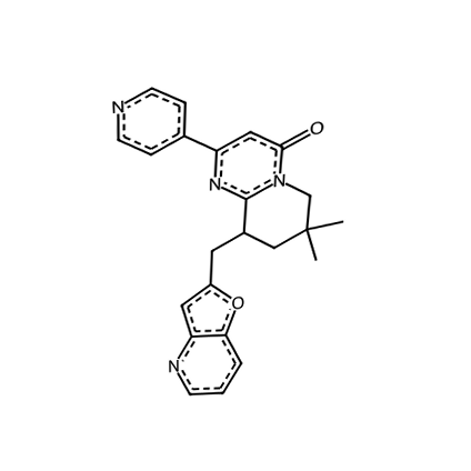 CC1(C)CC(Cc2cc3ncccc3o2)c2nc(-c3ccncc3)cc(=O)n2C1